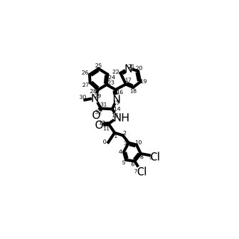 CC(Cc1ccc(Cl)c(Cl)c1)C(=O)NC1N=C(c2cccnc2)c2ccccc2N(C)C1=O